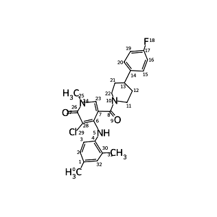 Cc1ccc(Nc2c(C(=O)N3CCC(c4ccc(F)cc4)CC3)cn(C)c(=O)c2Cl)c(C)c1